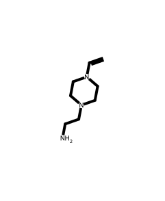 C=CN1CCN(CCN)CC1